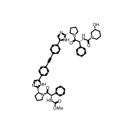 COC(=O)N[C@@H](C(=O)N1CCC[C@H]1c1ncc(-c2ccc(C#Cc3ccc(-c4cnc([C@@H]5CCCN5C(=O)[C@H](NC(=O)N5CCC[C@H](O)C5)c5ccccc5)[nH]4)cc3)cc2)[nH]1)c1ccccc1